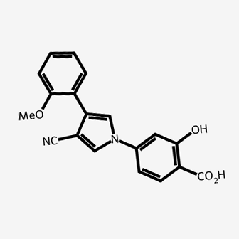 COc1ccccc1-c1cn(-c2ccc(C(=O)O)c(O)c2)cc1C#N